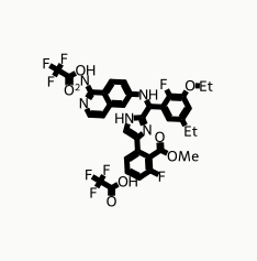 CCOc1cc(CC)cc(C(Nc2ccc3c(N)nccc3c2)c2nc(-c3cccc(F)c3C(=O)OC)c[nH]2)c1F.O=C(O)C(F)(F)F.O=C(O)C(F)(F)F